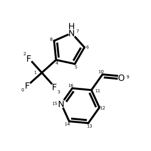 FC(F)(F)c1cc[nH]c1.O=Cc1cccnc1